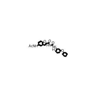 CC(=O)Nc1ccc2oc(C(=O)NC(=O)NSc3cccc(Oc4ccccc4)c3)cc2c1